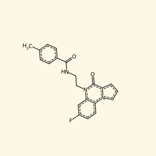 Cc1ccc(C(=O)NCCn2c(=O)c3cccn3c3ccc(F)cc32)cc1